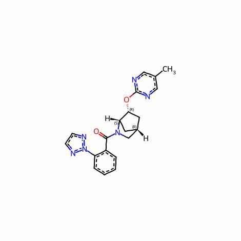 Cc1cnc(O[C@@H]2C[C@H]3C[C@@H]2N(C(=O)c2ccccc2-n2nccn2)C3)nc1